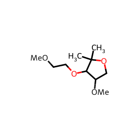 COCCOC1C(OC)COC1(C)C